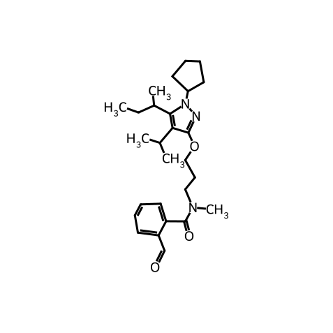 CCC(C)c1c(C(C)C)c(OCCCN(C)C(=O)c2ccccc2C=O)nn1C1CCCC1